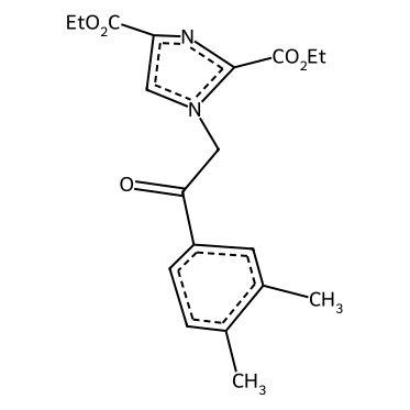 CCOC(=O)c1cn(CC(=O)c2ccc(C)c(C)c2)c(C(=O)OCC)n1